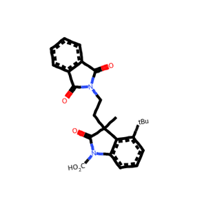 CC(C)(C)c1cccc2c1C(C)(CCN1C(=O)c3ccccc3C1=O)C(=O)N2C(=O)O